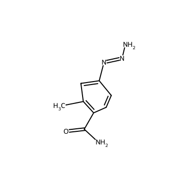 Cc1cc(N=NN)ccc1C(N)=O